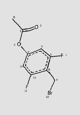 CC(=O)Oc1cc(F)c(CBr)c(F)c1